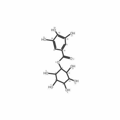 O=C(OC1C(O)C(O)C(O)C(O)C1O)c1cc(O)c(O)c(O)c1